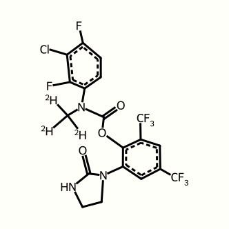 [2H]C([2H])([2H])N(C(=O)Oc1c(N2CCNC2=O)cc(C(F)(F)F)cc1C(F)(F)F)c1ccc(F)c(Cl)c1F